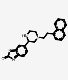 O=C1N=c2ccc(C3CN(CCc4cccc5ccccc45)CCN3)cc2=N1